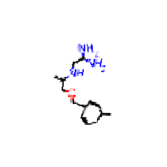 CC1C=CC(COCC(C)NCC(N)N)C=CC1